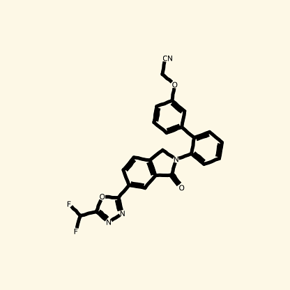 N#CCOc1cccc(-c2ccccc2N2Cc3ccc(-c4nnc(C(F)F)o4)cc3C2=O)c1